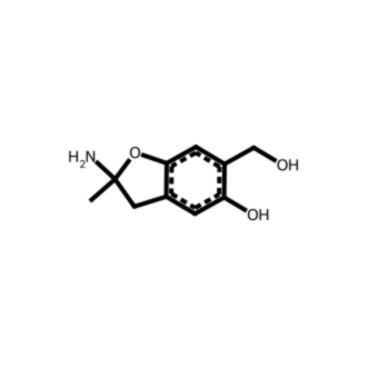 CC1(N)Cc2cc(O)c(CO)cc2O1